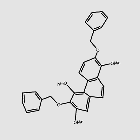 COc1cc2ccc3c(OC)c(OCc4ccccc4)ccc3c2c(OC)c1OCc1ccccc1